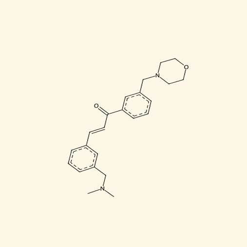 CN(C)Cc1cccc(C=CC(=O)c2cccc(CN3CCOCC3)c2)c1